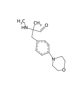 CNC(C)(C=O)Cc1ccc(N2CCOCC2)cc1